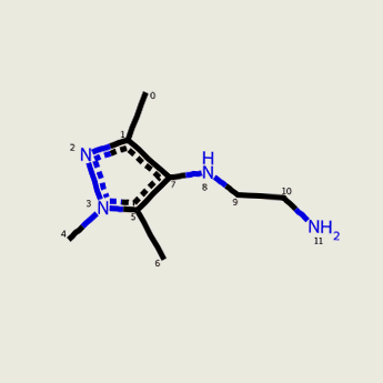 Cc1nn(C)c(C)c1NCCN